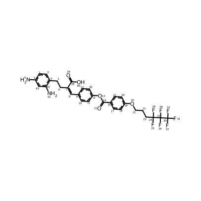 Nc1ccc(CCC(=Cc2ccc(OC(=O)c3ccc(OCCCC(F)(F)C(F)(F)C(F)(F)F)cc3)cc2)C(=O)O)c(N)c1